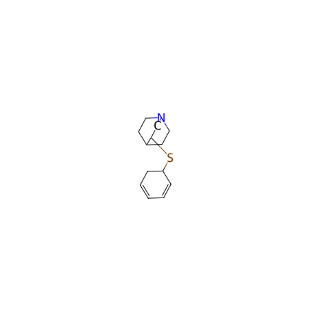 C1=CCC(SC2CN3CCC2CC3)C=C1